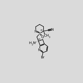 C[C@]1(C#N)CCCN=S1(=O)C[C@@]1(N)Cc2ccc(Br)nc21